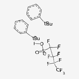 CC(C)(C)c1ccccc1.CC(C)(C)c1ccccc1.O=S(=O)(OI)C(F)(F)C(F)(F)C(F)(F)C(F)(F)F